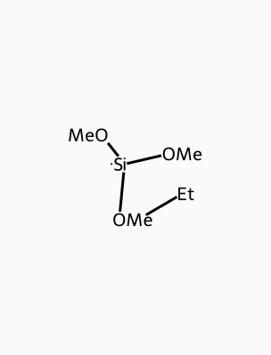 CCC.CO[Si](OC)OC